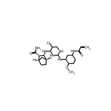 C=CC(=O)NC1CCC(OC)C(NC2NCC(Cl)C(N[C@H]3[C@@H]4CC[C@@H](C4)[C@H]3C(N)=O)N2)C1